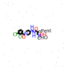 CCCCCC(CN(O)C=O)C(=O)NNC1CCN(C(=O)c2cccc(Cl)c2Cl)CC1